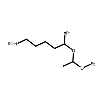 [CH2]C(OCC)OC(CCC)CCCCCCCCCCCC